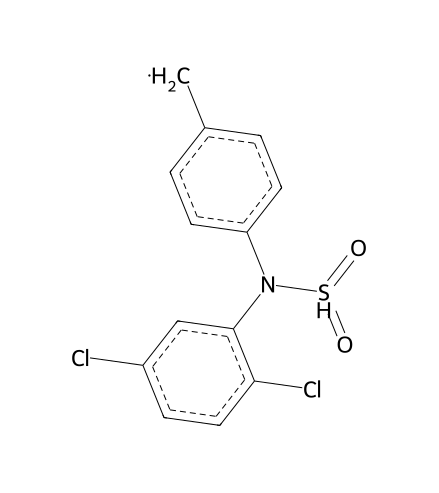 [CH2]c1ccc(N(c2cc(Cl)ccc2Cl)[SH](=O)=O)cc1